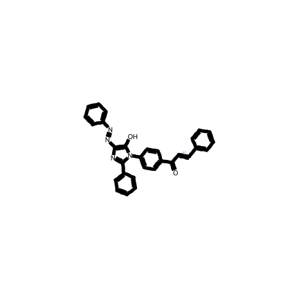 O=C(/C=C/c1ccccc1)c1ccc(-n2c(-c3ccccc3)nc(N=Nc3ccccc3)c2O)cc1